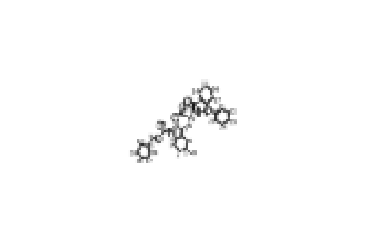 Cc1ccc2c(c1)c(CC(NC(=O)c1ccccc1Oc1ccccc1)C(=O)O)cn2C(=O)OCc1ccccc1